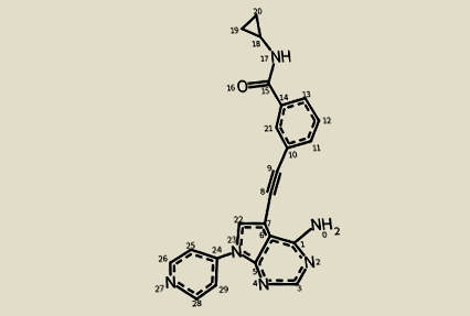 Nc1ncnc2c1c(C#Cc1cccc(C(=O)NC3CC3)c1)cn2-c1ccncc1